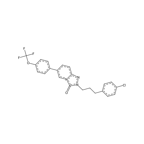 O=c1n(CCCc2ccc(Cl)cc2)nc2ccc(-c3ccc(OC(F)(F)F)cc3)cn12